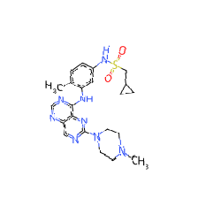 Cc1ccc(NS(=O)(=O)CC2CC2)cc1Nc1ncnc2cnc(N3CCN(C)CC3)nc12